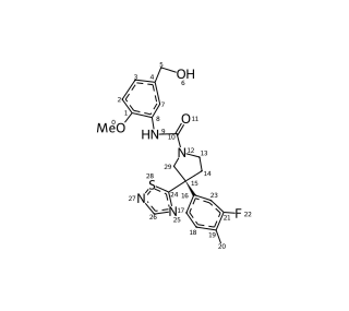 COc1ccc(CO)cc1NC(=O)N1CC[C@](c2ccc(C)c(F)c2)(c2ncns2)C1